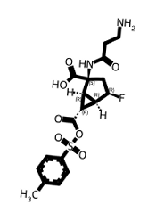 Cc1ccc(S(=O)(=O)OC(=O)[C@H]2[C@H]3[C@@H]2[C@](NC(=O)CCN)(C(=O)O)C[C@H]3F)cc1